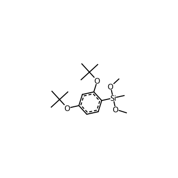 CO[Si](C)(OC)c1ccc(OC(C)(C)C)cc1OC(C)(C)C